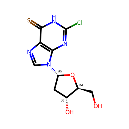 OC[C@@H]1O[C@@H](n2cnc3c(=S)[nH]c(Cl)nc32)C[C@H]1O